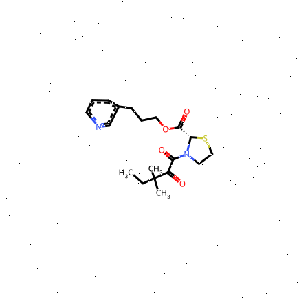 CCC(C)(C)C(=O)C(=O)N1CCS[C@H]1C(=O)OCCCc1cccnc1